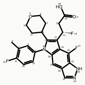 Cc1cc(-n2c(C3CCOCC3)c([C@@H](F)CC(=O)O)c3c(F)c4[nH]ncc4cc32)ccc1F